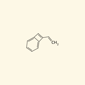 C=CC1=Cc2ccccc21